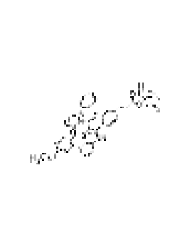 COc1ccc(CS[C@@H](C(=O)N2C(=O)OC[C@@H]2c2ccccc2)[C@@H](Nc2ccccc2)c2ccc(OCC(=O)OC(C)(C)C)cc2)cc1